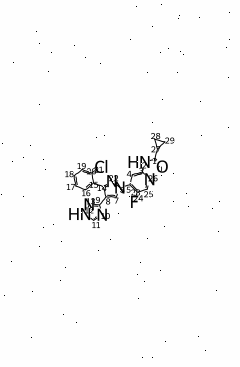 O=C(Nc1cc(-n2cc(-c3nc[nH]n3)c(-c3ccccc3Cl)n2)c(F)cn1)C1CC1